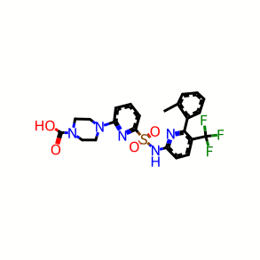 Cc1ccccc1-c1nc(NS(=O)(=O)c2cccc(N3CCN(C(=O)O)CC3)n2)ccc1C(F)(F)F